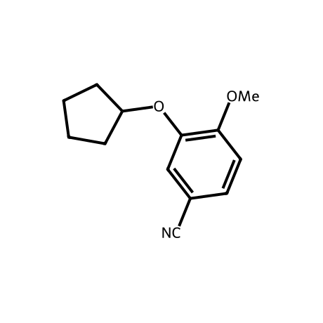 COc1ccc(C#N)cc1OC1CCCC1